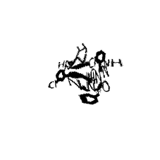 O=C(Nc1n[nH]c2ccccc12)[C@H](Cc1ccccc1)n1cnc(-c2cc(Cl)ccc2N2C=C(Cl)NN2)cc1=O